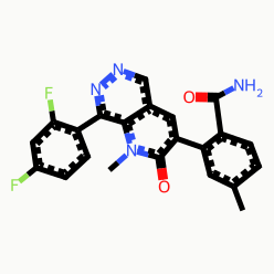 Cc1ccc(C(N)=O)c(-c2cc3cnnc(-c4ccc(F)cc4F)c3n(C)c2=O)c1